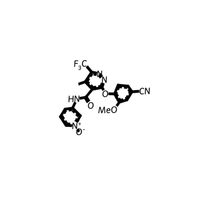 COc1cc(C#N)ccc1Oc1nnc(C(F)(F)F)c(C)c1C(=O)Nc1ccc[n+]([O-])c1